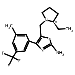 CC[C@@H]1CCCN1Cc1sc(N)nc1-c1cc(C)cc(C(F)(F)F)c1